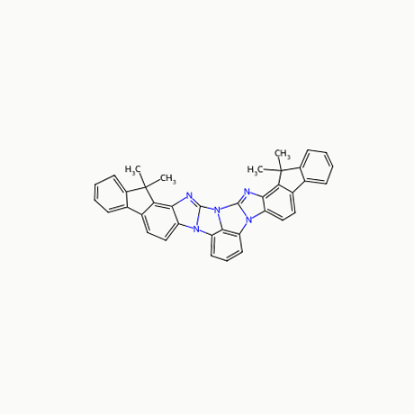 CC1(C)c2ccccc2-c2ccc3c(nc4n3c3cccc5c3n4c3nc4c6c(ccc4n53)-c3ccccc3C6(C)C)c21